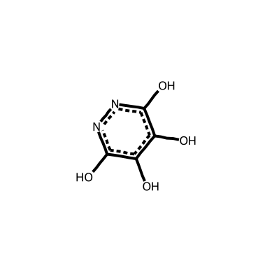 Oc1nnc(O)c(O)c1O